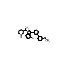 COc1cccc(-c2cncc(-c3cn(C(C)C4CCCNC4)c4cccc(Cl)c34)c2)c1